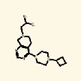 CCC(CC)CN1CCc2c(ncnc2N2CCN(C3CCC3)CC2)C1